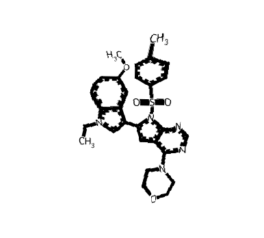 CCn1cc(-c2cc3c(N4CCOCC4)ncnc3n2S(=O)(=O)c2ccc(C)cc2)c2cc(OC)ccc21